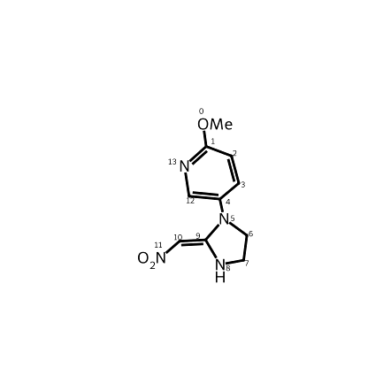 COc1ccc(N2CCNC2=C[N+](=O)[O-])cn1